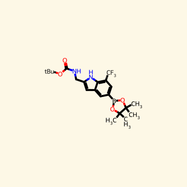 CC(C)(C)OC(=O)NCc1cc2cc(B3OC(C)(C)C(C)(C)O3)cc(C(F)(F)F)c2[nH]1